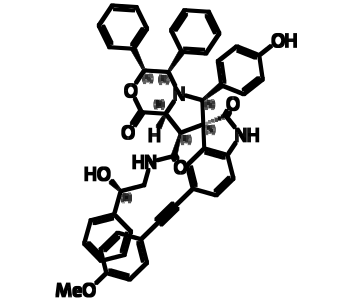 COc1ccc(C#Cc2ccc3c(c2)[C@]2(C(=O)N3)[C@H](c3ccc(O)cc3)N3[C@H](c4ccccc4)[C@H](c4ccccc4)OC(=O)[C@H]3[C@@H]2C(=O)NC[C@H](O)c2ccccc2)cc1